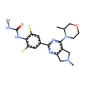 CCNC(=O)Nc1c(F)cc(-c2nc3c(c(N4CCOCC4C)n2)CN(C)C3)cc1F